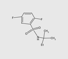 CCC(C)(C)NS(=O)(=O)c1cc(F)ccc1F